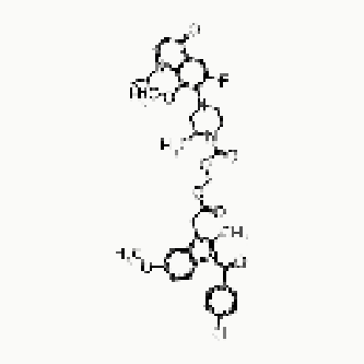 COc1ccc2c(c1)c(CC(=O)OCOC(=O)N1CCN(c3c(F)cc4c(=O)ccn(C5CC5)c4c3OC)CC1C)c(C)n2C(=O)c1ccc(Cl)cc1